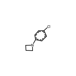 Clc1ccc(N2CCC2)cc1